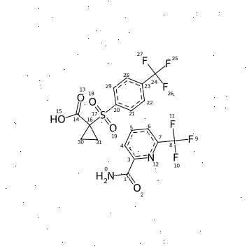 NC(=O)c1cccc(C(F)(F)F)n1.O=C(O)C1(S(=O)(=O)c2ccc(C(F)(F)F)cc2)CC1